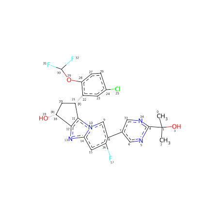 CC(C)(O)c1ncc(-c2cn3c4c(nc3cc2F)[C@H](O)C[C@@H]4c2cc(Cl)ccc2OC(F)F)cn1